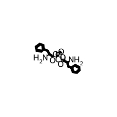 CP(=O)(OC(=O)[C@@H](N)Cc1ccccc1)OC(=O)[C@@H](N)Cc1ccccc1